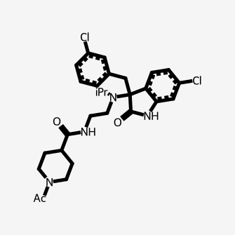 CC(=O)N1CCC(C(=O)NCCN(C(C)C)C2(Cc3cccc(Cl)c3)C(=O)Nc3cc(Cl)ccc32)CC1